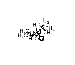 CCN(CC)CCCC(CCN(C(C)C)C(C)C)(C(N)=O)c1ccccc1C